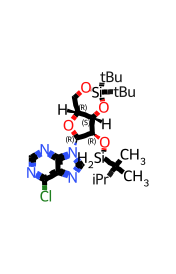 CC(C)C(C)(C)[SiH2]O[C@@H]1[C@H]2O[Si](C(C)(C)C)(C(C)(C)C)OC[C@H]2O[C@H]1n1cnc2c(Cl)ncnc21